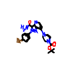 CC(C)(C)OC(=O)N1CCN(c2ccnc3c(C(N)=O)n(-c4ccc(Br)cc4)nc23)CC1